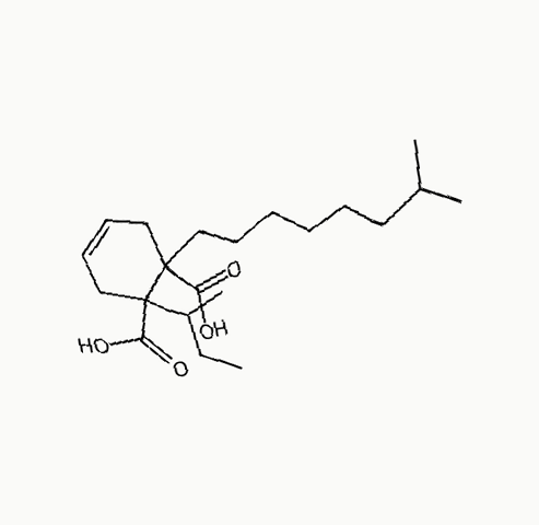 CCC(C)C1(C(=O)O)CC=CCC1(CCCCCCC(C)C)C(=O)O